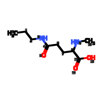 CCCNC(=O)CCC(NC)C(=O)O